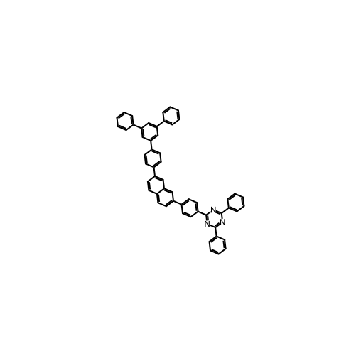 c1ccc(-c2cc(-c3ccccc3)cc(-c3ccc(-c4ccc5ccc(-c6ccc(-c7nc(-c8ccccc8)nc(-c8ccccc8)n7)cc6)cc5c4)cc3)c2)cc1